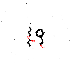 C=CC(=O)OCCCC.OC=Cc1ccccc1